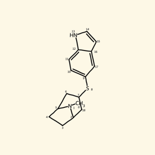 CN1C2CCC1CC(Sc1ccc3[nH]ccc3c1)C2